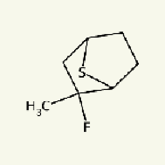 CC1(F)CC2CCC1S2